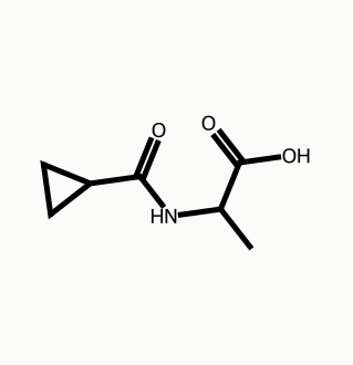 CC(NC(=O)C1CC1)C(=O)O